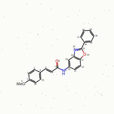 COc1ccc(/C=C/C(=O)Nc2ccc3oc(-c4ccccc4)nc3c2)cc1